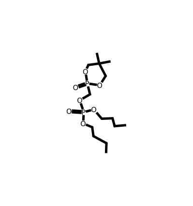 CCCCOP(=O)(OCCCC)OCP1(=O)OCC(C)(C)CO1